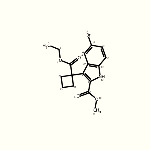 CCOC(=O)C1(c2c(C(=O)OC)[nH]c3ccc(Br)cc23)CCC1